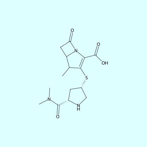 CC1C(S[C@@H]2CN[C@H](C(=O)N(C)C)C2)=C(C(=O)O)N2C(=O)CC12